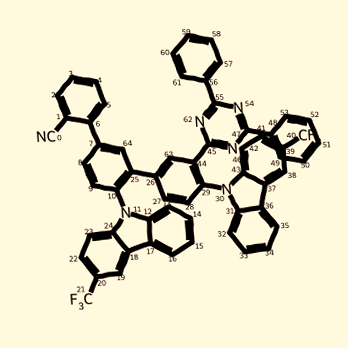 N#Cc1ccccc1-c1ccc(-n2c3ccccc3c3cc(C(F)(F)F)ccc32)c(-c2ccc(-n3c4ccccc4c4cc(C(F)(F)F)ccc43)c(-c3nc(-c4ccccc4)nc(-c4ccccc4)n3)c2)c1